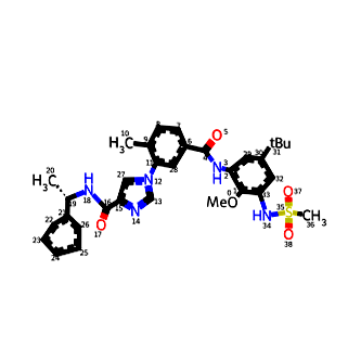 COc1c(NC(=O)c2ccc(C)c(-n3cnc(C(=O)N[C@@H](C)c4ccccc4)c3)c2)cc(C(C)(C)C)cc1NS(C)(=O)=O